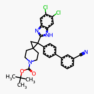 CC(C)(C)OC(=O)N1CCC2(CC1)CC2(c1ccc(-c2cccc(C#N)c2)cc1)c1nc2cc(Cl)c(Cl)cc2[nH]1